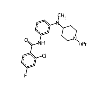 CCCN1CCC(N(C)c2cccc(NC(=O)c3ccc(F)cc3Cl)c2)CC1